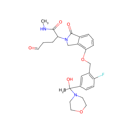 BC(O)(c1ccc(F)c(COc2cccc3c2CN(C(CCC=O)C(=O)NC)C3=O)c1)N1CCOCC1